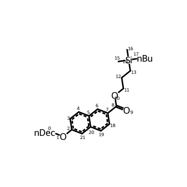 CCCCCCCCCCOc1ccc2cc(C(=O)OCCC[Si](C)(C)CCCC)ccc2c1